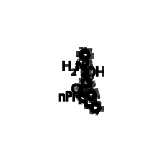 CCCC(CCCc1ccccc1)N(C(=O)C1CCCN(CC(O)C(N)Cc2ccccc2)C1)c1ccccc1